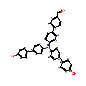 O=Cc1ccc(-c2ccc(N(c3ccc(-c4ccc(O)cc4)cc3)c3ccc(-c4ccc(O)cc4)cc3)cc2)cc1